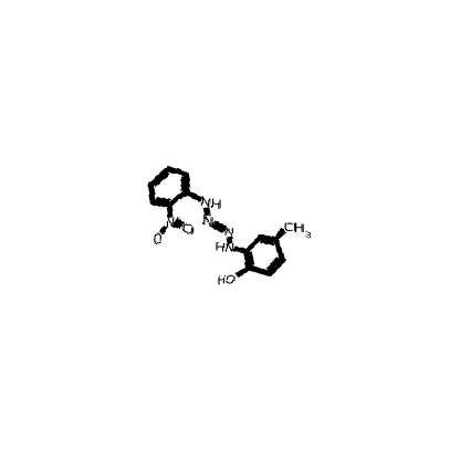 Cc1ccc(O)c(NN=NNc2ccccc2[N+](=O)[O-])c1